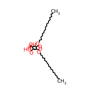 CCCCCCCCCCCCCCCCCCCCOC(=O)c1cc(C(=O)O)c(C(=O)O)cc1C(=O)OCCCCCCCCCCCCCCCCCCCC